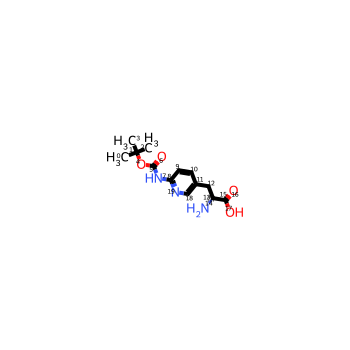 CC(C)(C)OC(=O)Nc1ccc(C[C@H](N)C(=O)O)cn1